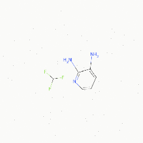 FC(F)F.Nc1cccnc1N